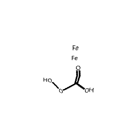 O=C(O)OO.[Fe].[Fe]